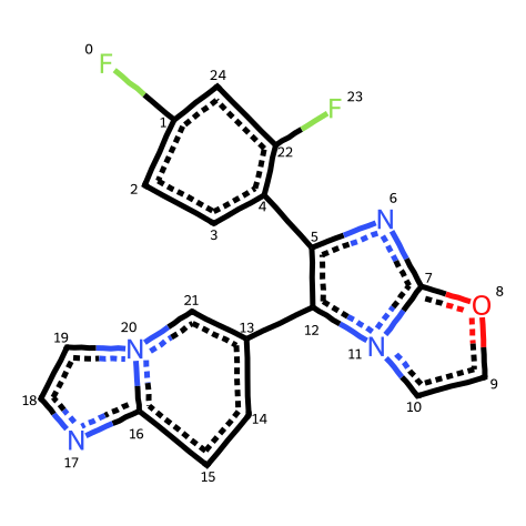 Fc1ccc(-c2nc3occn3c2-c2ccc3nccn3c2)c(F)c1